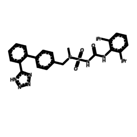 CC(C)c1cccc(C(C)C)c1NC(=O)NS(=O)(=O)N(C)Cc1ccc(-c2ccccc2-c2nnn[nH]2)cc1